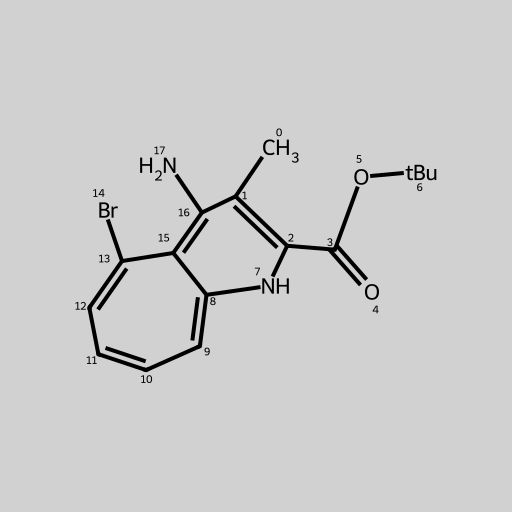 CC1=C(C(=O)OC(C)(C)C)NC2=CC=CC=C(Br)C2=C1N